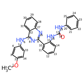 COc1ccc(Nc2nc(-c3ccccc3NC(=O)Nc3ccccc3)nc3ccccc23)cc1